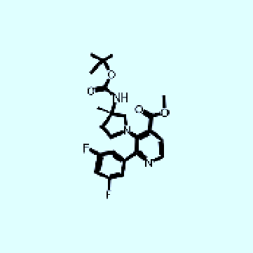 COC(=O)c1ccnc(-c2cc(F)cc(F)c2)c1N1CC[C@](C)(NC(=O)OC(C)(C)C)C1